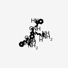 N=C(N)NCCCn1c(C(=O)NCCc2c[nH]c3ccccc23)cc2cc(NC(=O)C(Cc3ccccc3)NC(=N)N)ccc21